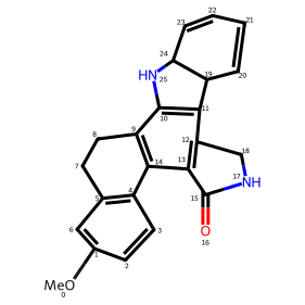 COc1ccc2c(c1)CCc1c3c(c4c(c1-2)C(=O)NC4)C1C=CC=CC1N3